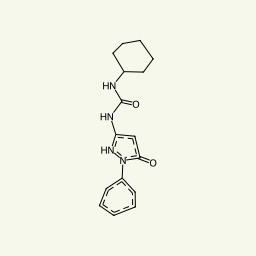 O=C(Nc1cc(=O)n(-c2ccccc2)[nH]1)NC1CCCCC1